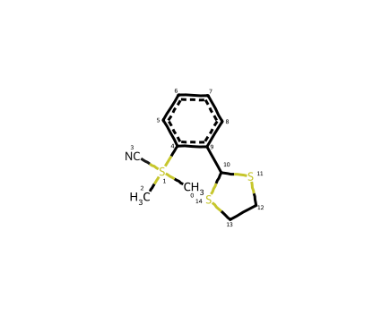 CS(C)(C#N)c1ccccc1C1SCCS1